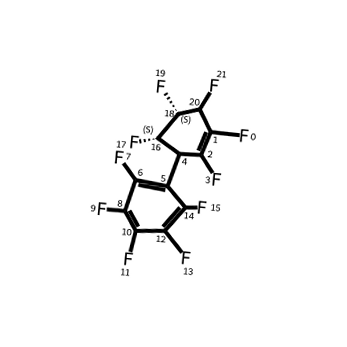 FC1=C(F)C(c2c(F)c(F)c(F)c(F)c2F)[C@H](F)[C@H](F)C1F